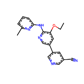 CCOc1cc(-c2cncc(C#N)c2)cnc1Nc1cccc(C)n1